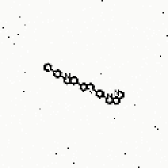 c1ccc(-c2ccc(-c3ccc4cc(-c5ccc6nc(-c7ccc(-c8ccc9ccc%10cccnc%10c9n8)cc7)ccc6c5)ccc4n3)cc2)cc1